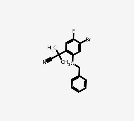 CC(C)(C#N)c1cc(F)c(Br)cc1OCc1ccccc1